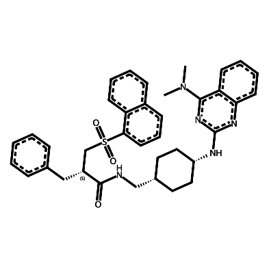 CN(C)c1nc(N[C@H]2CC[C@@H](CNC(=O)[C@H](Cc3ccccc3)CS(=O)(=O)c3cccc4ccccc34)CC2)nc2ccccc12